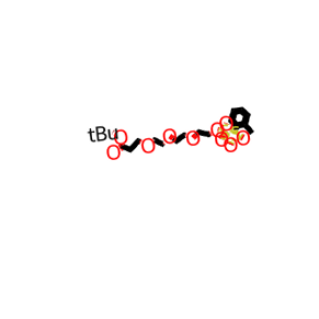 Cc1ccccc1S(=O)(=O)S(=O)(=O)OCCOCCOCCOCCC(=O)OC(C)(C)C